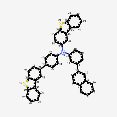 c1cc(-c2ccc3ccccc3c2)cc(N(c2ccc(-c3ccc4sc5ccccc5c4c3)cc2)c2ccc3sc4ccccc4c3c2)c1